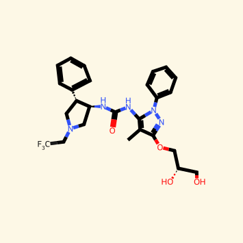 Cc1c(OC[C@@H](O)CO)nn(-c2ccccc2)c1NC(=O)N[C@H]1CN(CC(F)(F)F)C[C@@H]1c1ccccc1